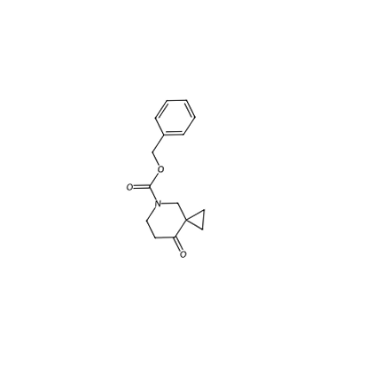 O=C(OCc1ccccc1)N1CCC(=O)C2(CC2)C1